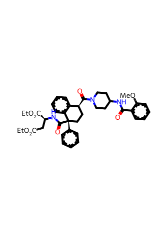 CCOC(=O)C[C@H](NC(=O)[C@@]1(c2ccccc2)CC[C@H](C(=O)N2CCC(NC(=O)c3ccccc3OC)CC2)c2ccccc21)C(=O)OCC